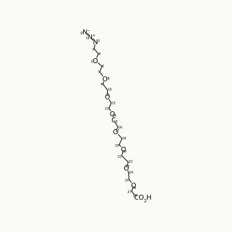 [N-]=[N+]=NCCOCCOCCOCCOCCOCCOCCOCCOCC(=O)O